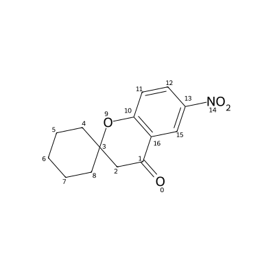 O=C1CC2(CCCCC2)Oc2ccc([N+](=O)[O-])cc21